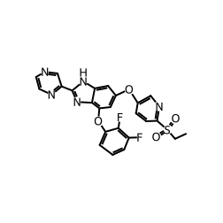 CCS(=O)(=O)c1ccc(Oc2cc(Oc3cccc(F)c3F)c3nc(-c4cnccn4)[nH]c3c2)cn1